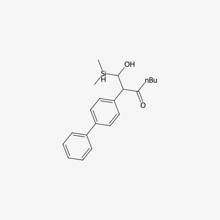 CCCCC(=O)C(c1ccc(-c2ccccc2)cc1)C(O)[SiH](C)C